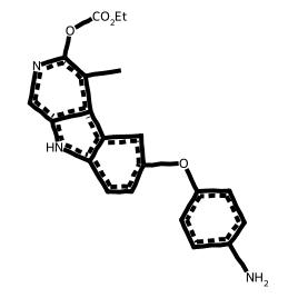 CCOC(=O)Oc1ncc2[nH]c3ccc(Oc4ccc(N)cc4)cc3c2c1C